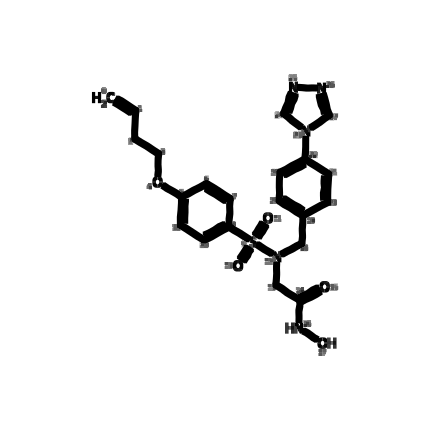 C=CCCOc1ccc(S(=O)(=O)N(CC(=O)NO)Cc2ccc(-n3cnnc3)cc2)cc1